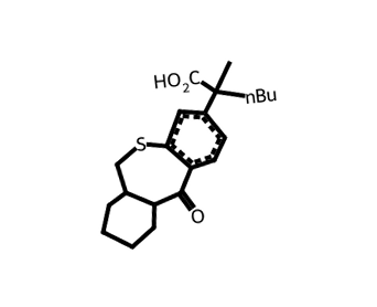 CCCCC(C)(C(=O)O)c1ccc2c(c1)SCC1CCCCC1C2=O